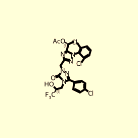 CC(=O)O[C@@H](C)c1nc(Cn2nc(-c3ccc(Cl)cc3)n(C[C@H](O)C(F)(F)F)c2=O)nn1-c1c(Cl)cccc1Cl